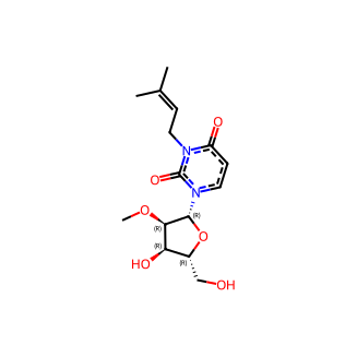 CO[C@@H]1[C@H](O)[C@@H](CO)O[C@H]1n1ccc(=O)n(CC=C(C)C)c1=O